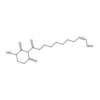 CCCCCCCC/C=C\CCCCCCCC(=O)C1C(=O)CCC(O)C1=O